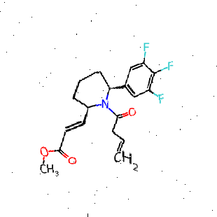 C=CCC(=O)N1[C@@H](/C=C/C(=O)OC)CCC[C@H]1c1cc(F)c(F)c(F)c1